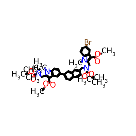 CCOC(=O)c1c(CN(CC)C(=O)OC(C)(C)C)n(C)c2ccc(-c3ccc4ccc(CN(Cc5c(C(=O)OCC)c6cc(Br)ccc6n5C)C(=O)OC(C)(C)C)cc4c3)cc12